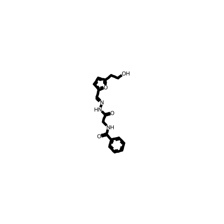 O=C(CNC(=O)c1ccccc1)N/N=C/c1ccc(CCO)o1